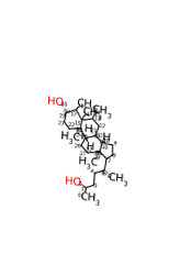 CC(O)CC[C@@H](C)C1CC[C@H]2[C@@H]3CC(C)C4(C)C(C)[C@@H](O)CC[C@]4(C)[C@H]3CC[C@]12C